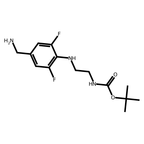 CC(C)(C)OC(=O)NCCNc1c(F)cc(CN)cc1F